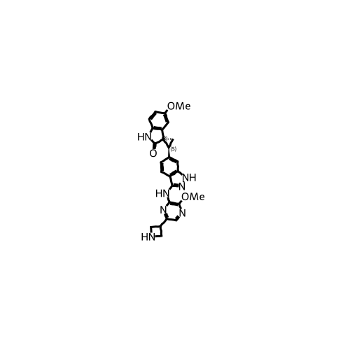 COc1ccc2c(c1)[C@]1(C[C@H]1c1ccc3c(Nc4nc(C5CNC5)cnc4OC)n[nH]c3c1)C(=O)N2